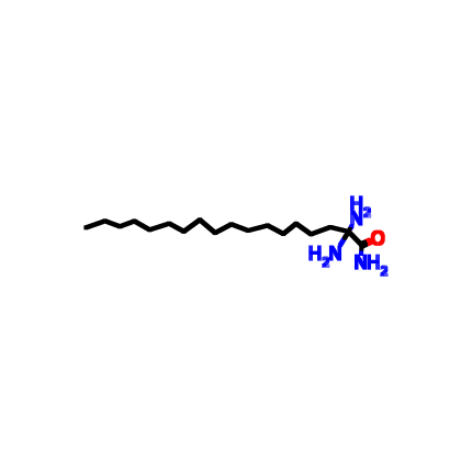 CCCCCCCCCCCCCCCCC(N)(N)C(N)=O